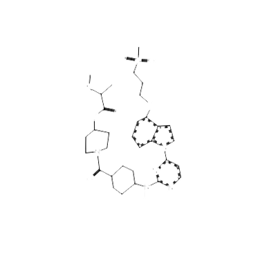 CNC(C)C(=O)OC1CCN(C(=O)C2CCC(Nc3nccc(-n4ccc5c(OCCCS(C)(=O)=O)cccc54)n3)CC2)CC1